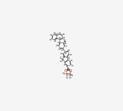 CC1(C)c2cc(B3OC(C)(C)C(C)(C)O3)ccc2-c2ccc(-c3ccc4c(c3)sc3ccc5ccccc5c34)cc21